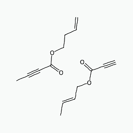 C#CC(=O)OCC=CC.C=CCCOC(=O)C#CC